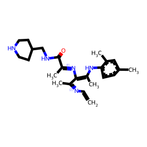 C=C/N=C(/C)C(/N=C(\C)C(=O)NCC1CCNCC1)=C(C)Nc1ccc(C)cc1C